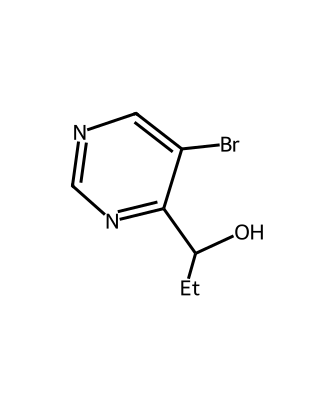 CCC(O)c1ncncc1Br